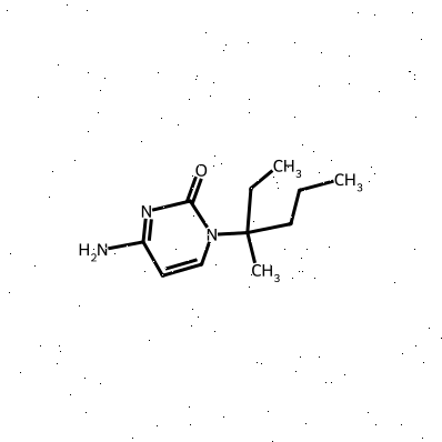 CCCC(C)(CC)n1ccc(N)nc1=O